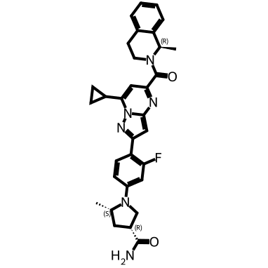 C[C@@H]1c2ccccc2CCN1C(=O)c1cc(C2CC2)n2nc(-c3ccc(N4C[C@H](C(N)=O)C[C@@H]4C)cc3F)cc2n1